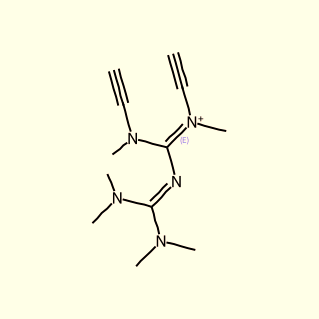 C#CN(C)/C(N=C(N(C)C)N(C)C)=[N+](/C)C#C